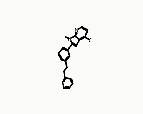 Cn1c(-c2cccc(CCc3ccccc3)c2)cc2c(Cl)ccnc21